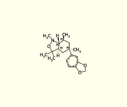 C[C@H]1C[C@@](C)(c2ccc3c(c2)OCO3)C[C@@H]2[C@@H]1N(C)OC2(C)C